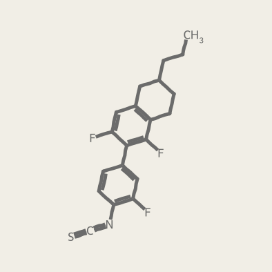 CCCC1CCc2c(cc(F)c(-c3ccc(N=C=S)c(F)c3)c2F)C1